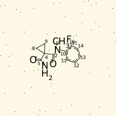 CN(C(=O)C1(C(N)=O)CC1)c1ccccc1F